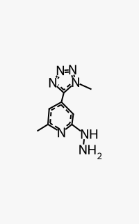 Cc1cc(-c2nnnn2C)cc(NN)n1